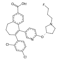 O=C(O)c1ccc2c(c1)CCCC(c1ccc(Cl)cc1Cl)=C2c1ccc(O[C@H]2CCN(CCCF)C2)nc1